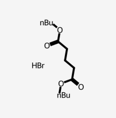 Br.CCCCOC(=O)CCCC(=O)OCCCC